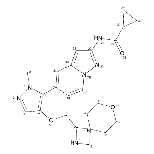 Cn1ncc(OCC2NCC23CCOCC3)c1-c1ccn2nc(NC(=O)C3CC3)cc2c1